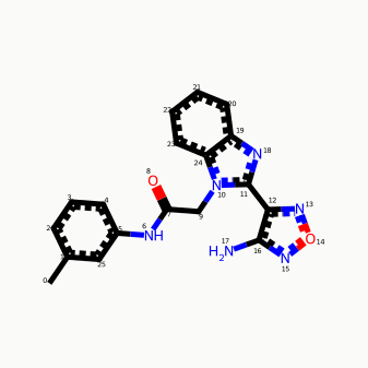 Cc1cccc(NC(=O)Cn2c(-c3nonc3N)nc3ccccc32)c1